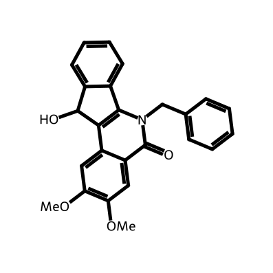 COc1cc2c3c(n(Cc4ccccc4)c(=O)c2cc1OC)-c1ccccc1C3O